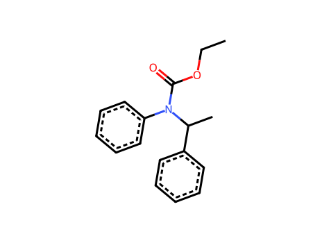 CCOC(=O)N(c1ccccc1)C(C)c1ccccc1